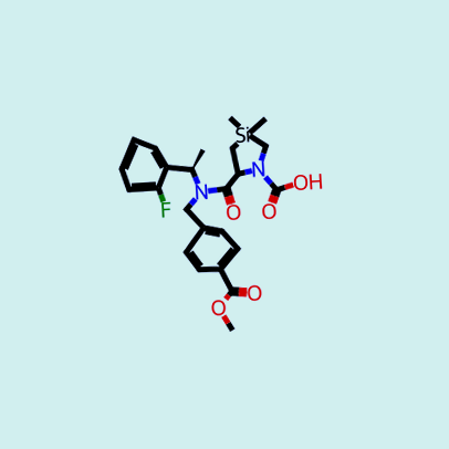 COC(=O)c1ccc(CN(C(=O)C2C[Si](C)(C)CN2C(=O)O)[C@H](C)c2ccccc2F)cc1